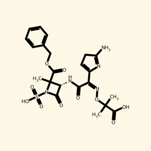 CC(C)(O/N=C(\C(=O)N[C@@H]1C(=O)N(S(=O)(=O)O)C1(C)C(=O)OCc1ccccc1)C1=CCC(N)=N1)C(=O)O